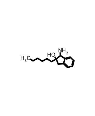 CCCCCCC1(O)Cc2ccccc2C1N